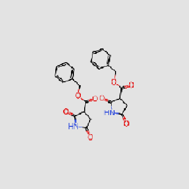 O=C1CC(C(=O)OCc2ccccc2)C(=O)N1.O=C1CC(C(=O)OCc2ccccc2)C(=O)N1